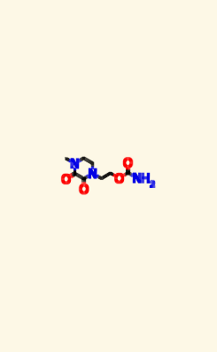 CN1CCN(CCOC(N)=O)C(=O)C1=O